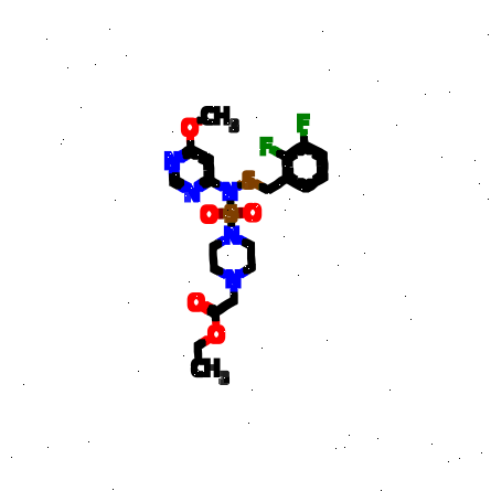 CCOC(=O)CN1CCN(S(=O)(=O)N(SCc2cccc(F)c2F)c2cc(OC)ncn2)CC1